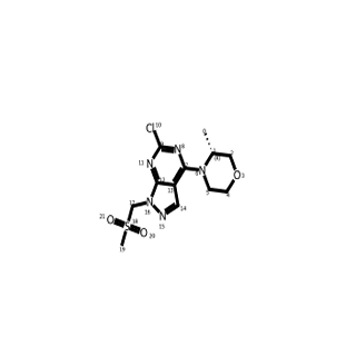 C[C@@H]1COCCN1c1nc(Cl)nc2c1cnn2CS(C)(=O)=O